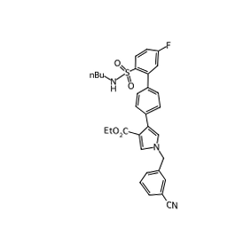 CCCCNS(=O)(=O)c1ccc(F)cc1-c1ccc(-c2cn(Cc3cccc(C#N)c3)cc2C(=O)OCC)cc1